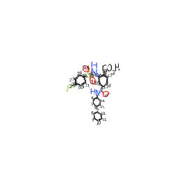 O=C(Nc1ccc(-c2ccccc2)cc1)c1ccc(C(=O)O)c(NS(=O)(=O)c2ccc(F)cc2)c1